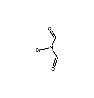 O=CN(Br)C=O